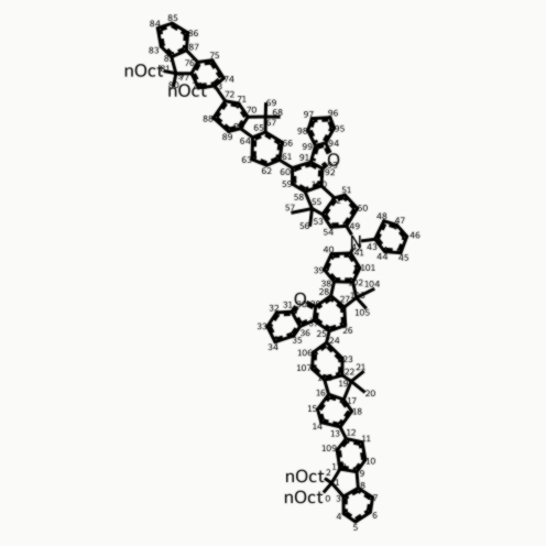 CCCCCCCCC1(CCCCCCCC)c2ccccc2-c2ccc(-c3ccc4c(c3)C(C)(C)c3cc(-c5cc6c(c7oc8ccccc8c57)-c5ccc(N(c7ccccc7)c7ccc8c(c7)C(C)(C)c7cc(-c9ccc%10c(c9)C(C)(C)c9cc(-c%11ccc%12c(c%11)C(CCCCCCCC)(CCCCCCCC)c%11ccccc%11-%12)ccc9-%10)c9c(oc%10ccccc%109)c7-8)cc5C6(C)C)ccc3-4)cc21